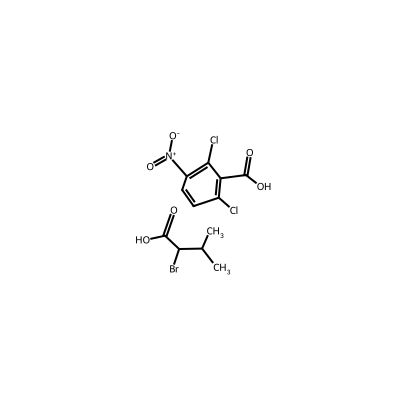 CC(C)C(Br)C(=O)O.O=C(O)c1c(Cl)ccc([N+](=O)[O-])c1Cl